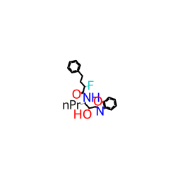 CCC[C@H](NC(=O)[C@@H](F)CCc1ccccc1)C(O)c1nc2ccccc2o1